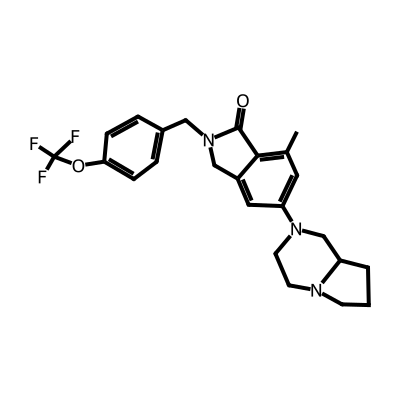 Cc1cc(N2CCN3CCCC3C2)cc2c1C(=O)N(Cc1ccc(OC(F)(F)F)cc1)C2